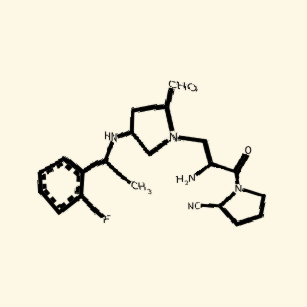 CC(NC1CC(C=O)N(CC(N)C(=O)N2CCCC2C#N)C1)c1ccccc1F